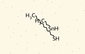 CCCCCCCCCCCCS.CCC[CH2][SnH]